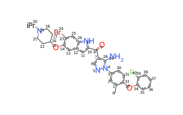 Cc1cc(-n2ncc(C(=O)c3cc4cc(OC5CCN(C(C)C)CC5)c(Br)cc4[nH]3)c2N)ccc1Oc1ccccc1F